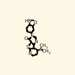 CN(C)c1ccnc2sc3c(=O)n(-c4ccc5c(c4)OCN5)cnc3c12